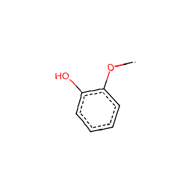 [CH2]Oc1ccccc1O